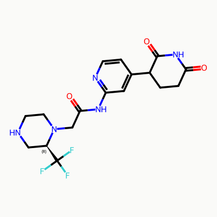 O=C1CCC(c2ccnc(NC(=O)CN3CCNC[C@@H]3C(F)(F)F)c2)C(=O)N1